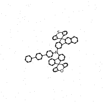 c1ccc(-c2ccc(-c3ccc(N(c4ccc5c(c4)-c4cc6ccccc6cc4C54c5ccccc5Sc5ccccc54)c4cccc5c4-c4ccccc4C54c5ccccc5Oc5ccccc54)cc3)cc2)cc1